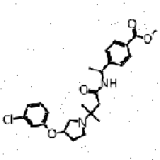 COC(=O)c1ccc([C@H](C)NC(=O)CC(C)(C)N2CCC(Oc3cccc(Cl)c3)C2)cc1